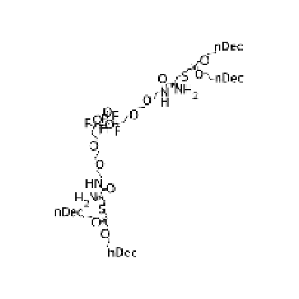 CCCCCCCCCCCCOC[C@H](CSC[C@H](N)C(=O)NCCOCCOCCC(F)(F)O[PH](=O)OC(F)(F)CCOCCOCCNC(=O)[C@@H](N)CSC[C@@H](COCCCCCCCCCCCC)OCCCCCCCCCCCC)OCCCCCCCCCCCC